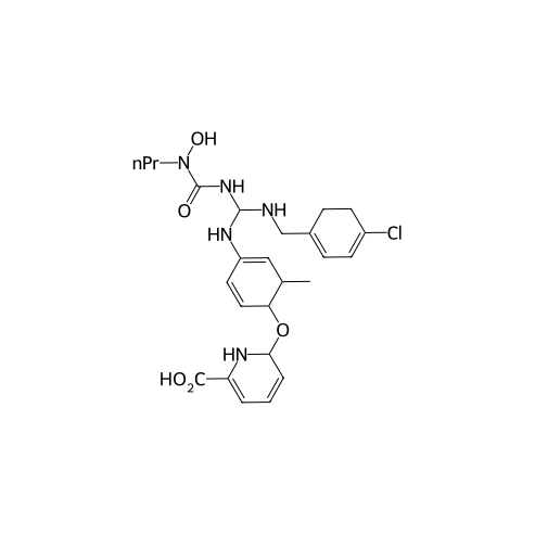 CCCN(O)C(=O)NC(NCC1=CC=C(Cl)CC1)NC1=CC(C)C(OC2C=CC=C(C(=O)O)N2)C=C1